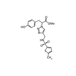 COC(=O)C(Cc1ccc(O)cc1)n1cc(CNS(=O)(=O)c2ccc(C)s2)nn1